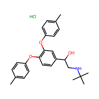 Cc1ccc(Oc2ccc(C(O)CNC(C)(C)C)cc2Oc2ccc(C)cc2)cc1.Cl